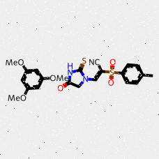 COc1cc(OC)cc(OC)c1.Cc1ccc(S(=O)(=O)/C(C#N)=C/N2CC(=O)NC2=S)cc1